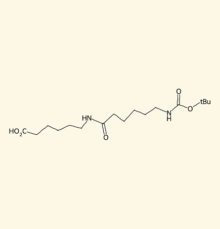 CC(C)(C)OC(=O)NCCCCCC(=O)NCCCCCC(=O)O